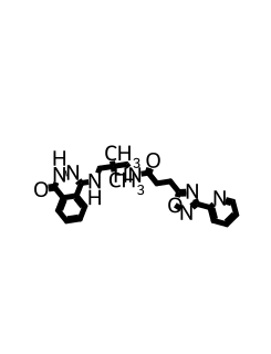 CC(C)(CNC(=O)CCc1nc(-c2ccccn2)no1)CNc1n[nH]c(=O)c2ccccc12